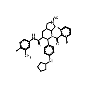 CC(=O)N1CC2CC(C(=O)Nc3ccc(C)c(C(F)(F)F)c3)C(c3ccc(NC4CCCC4)cc3)N(C(=O)c3c(C)cccc3F)C2C1